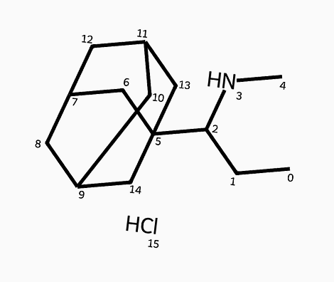 CCC(NC)C12CC3CC(CC(C3)C1)C2.Cl